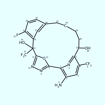 Nc1cc(C(F)(F)F)c2nc1-c1nnc(o1)C(O)(C(F)(F)F)c1cc(ccc1F)CCCCC2O